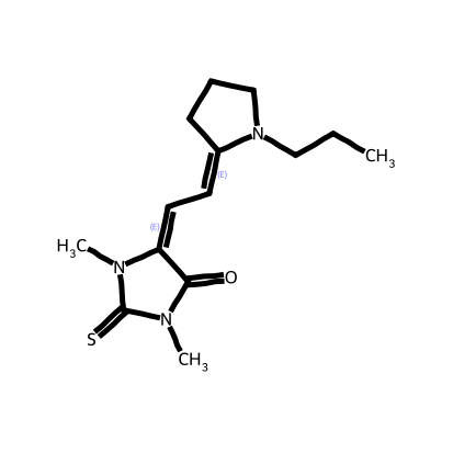 CCCN1CCC/C1=C\C=C1/C(=O)N(C)C(=S)N1C